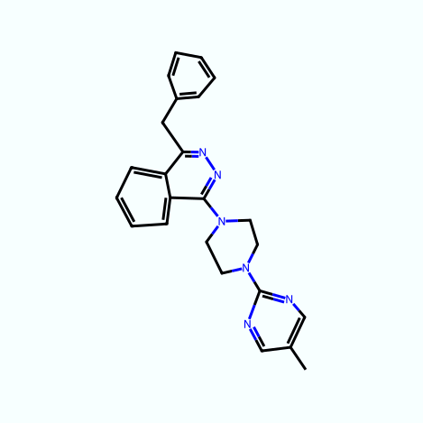 Cc1cnc(N2CCN(c3nnc(Cc4ccccc4)c4ccccc34)CC2)nc1